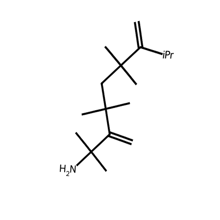 C=C(C(C)C)C(C)(C)CC(C)(C)C(=C)C(C)(C)N